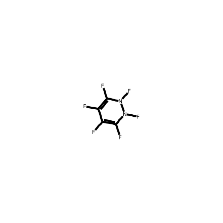 FC1=C(F)N(F)N(F)C(F)=C1F